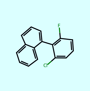 Fc1cccc(Cl)c1-c1cccc2ccccc12